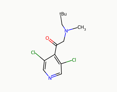 CN(CC(=O)c1c(Cl)cncc1Cl)CC(C)(C)C